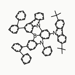 CC(C)(C)c1ccc2c3ccc(C(C)(C)C)cc3n(-c3cc4c5c(c3)-n3c6ccccc6c6cc(-c7ccccc7-c7ccccc7)cc(c63)B5c3cc(-c5ccccc5-c5ccccc5)ccc3N4c3ccccc3)c2c1